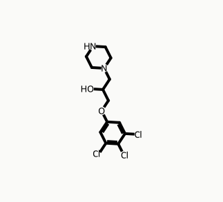 OC(COc1cc(Cl)c(Cl)c(Cl)c1)CN1CCNCC1